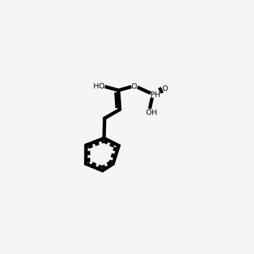 O=[PH](O)O/C(O)=C/Cc1ccccc1